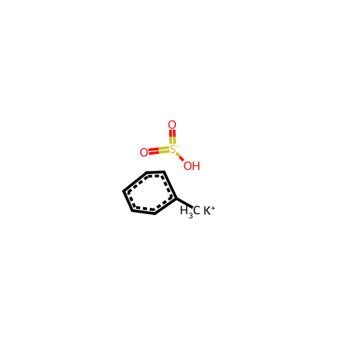 Cc1ccccc1.O=[S-](=O)O.[K+]